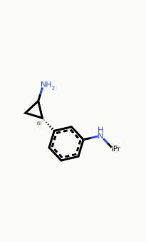 CC(C)Nc1cccc([C@@H]2CC2N)c1